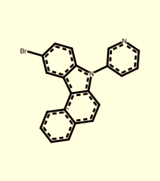 Brc1ccc2c(c1)c1c3ccccc3ccc1n2-c1cccnc1